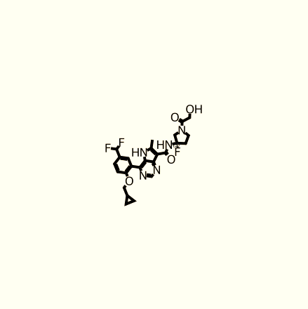 Cc1[nH]c2c(-c3cc(C(F)F)ccc3OCC3CC3)ncnc2c1C(=O)N[C@]1(F)CCN(C(=O)CO)C1